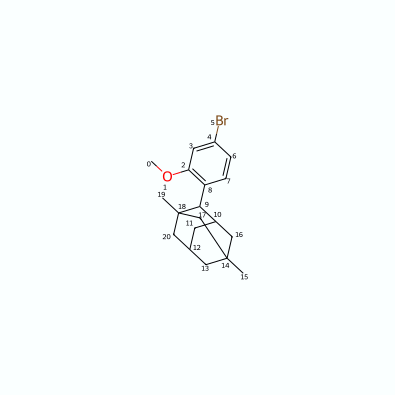 COc1cc(Br)ccc1C1C2CC3CC(C)(C2)CC1(C)C3